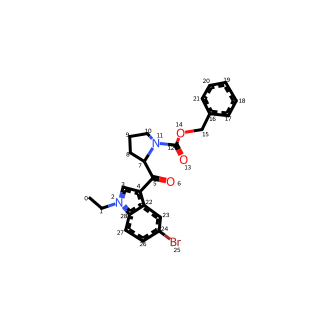 CCn1cc(C(=O)C2CCCN2C(=O)OCc2ccccc2)c2cc(Br)ccc21